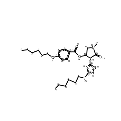 CCCCCCOc1ccc(C(=O)OC2CN(C)C(=O)N2c2nnc(SCCCCCC)s2)cc1